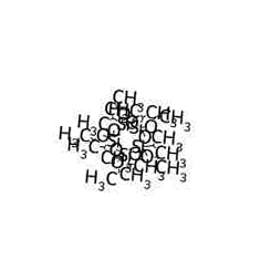 CCO[Si]1(C(C)C)O[Si](OCC)(C(C)C)O[Si](OCC)(C(C)C)O[Si](OCC)(C(C)C)O[Si](OCC)(C(C)C)O1